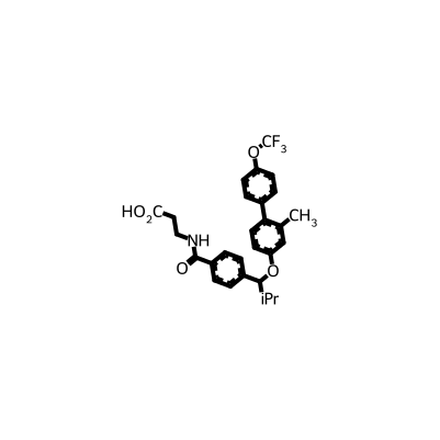 Cc1cc(OC(c2ccc(C(=O)NCCC(=O)O)cc2)C(C)C)ccc1-c1ccc(OC(F)(F)F)cc1